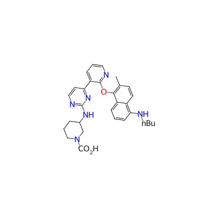 CCCCNc1cccc2c(Oc3ncccc3-c3ccnc(NC4CCCN(C(=O)O)C4)n3)c(C)ccc12